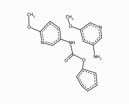 COc1ccc(NC(=O)Oc2ccccc2)cn1.COc1cncc(N)c1